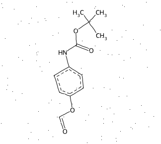 CC(C)(C)OC(=O)Nc1ccc(O[C]=O)cc1